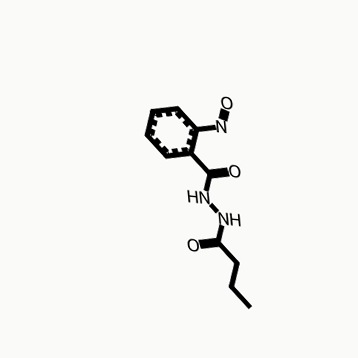 CCCC(=O)NNC(=O)c1ccccc1N=O